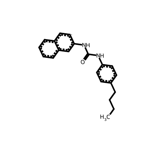 CCCCc1ccc(NC(=O)Nc2[c]cc3ccccc3c2)cc1